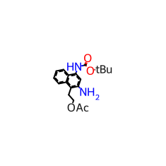 CC(=O)OCCc1c(N)cc(NC(=O)OC(C)(C)C)c2ccccc12